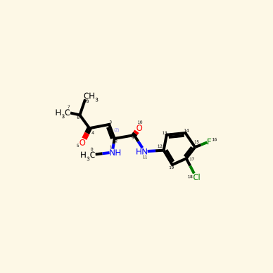 CN/C(=C\C(=O)C(C)C)C(=O)Nc1ccc(F)c(Cl)c1